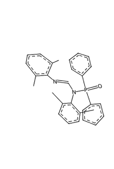 Cc1cccc(C)c1N=CN(c1c(C)cccc1C)P(=O)(c1ccccc1)c1ccccc1